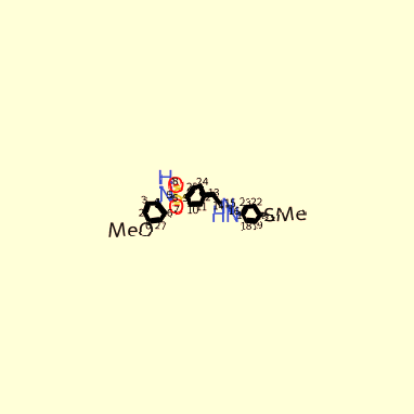 COc1ccc(NS(=O)(=O)c2ccc(CC=NNc3ccc(SC)cc3)cc2)cc1